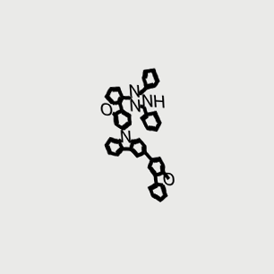 c1ccc(C2=NC(c3cccc4oc5cc(-n6c7ccccc7c7cc(-c8ccc9oc%10ccccc%10c9c8)ccc76)ccc5c34)=NC(c3ccccc3)N2)cc1